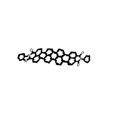 O=C1c2ccc3c4ccc5c6ccc7c8ccc9c(=O)n%10c%11ccccc%11nc%10c%10ccc(c%11ccc(c%12ccc(c%13ccc(c2c3%13)C(=O)N1c1ccccc1)c4c5%12)c6c7%11)c8c9%10